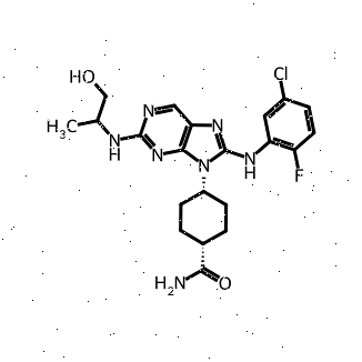 CC(CO)Nc1ncc2nc(Nc3cc(Cl)ccc3F)n([C@H]3CC[C@@H](C(N)=O)CC3)c2n1